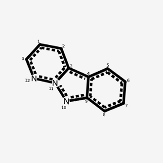 [c]1ccc2c3ccccc3nn2n1